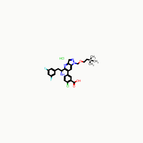 C[Si](C)(C)CCOCn1ncc2nc([C@@H](N)Cc3cc(F)cc(F)c3)c(-c3ccc(Cl)c(C(=O)O)c3)cc21.Cl